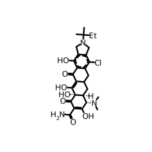 CCC(C)(C)N1Cc2c(O)c3c(c(Cl)c2C1)CC1C[C@H]2[C@H](N(C)C)C(O)=C(C(N)=O)C(=O)[C@@]2(O)C(O)=C1C3=O